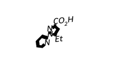 CCc1cc(C(=O)O)nn1-c1ccccn1